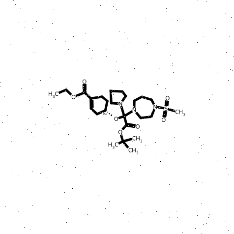 CCOC(=O)C1=CC[C@@H](OC(C(=O)OC(C)(C)C)(N2CCCC2)N2CCCN(S(C)(=O)=O)CC2)CC1